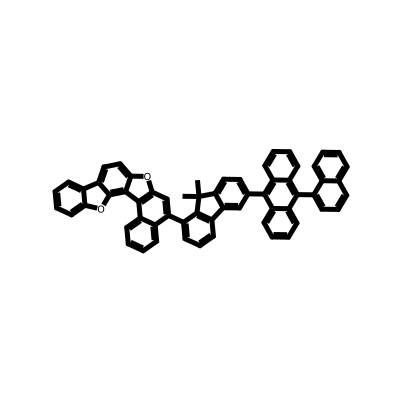 CC1(C)c2ccc(-c3c4ccccc4c(-c4cccc5ccccc45)c4ccccc34)cc2-c2cccc(-c3cc4oc5ccc6c7ccccc7oc6c5c4c4ccccc34)c21